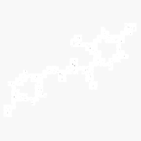 O=C(NN=Cc1ccc(Cl)cc1)c1ccc(O)cc1O